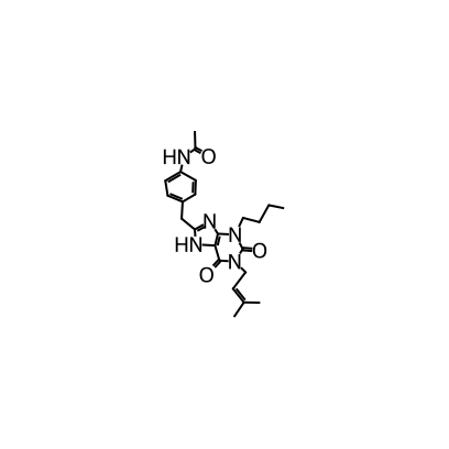 CCCCn1c(=O)n(CC=C(C)C)c(=O)c2[nH]c(Cc3ccc(NC(C)=O)cc3)nc21